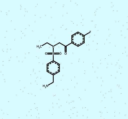 CCN(CC(=O)c1ccc(F)cc1)S(=O)(=O)c1ccc(CN)cc1